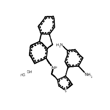 Cl.Cl.Nc1ccc(N)c(-c2cscc2CNc2cccc3c2Cc2ccccc2-3)c1